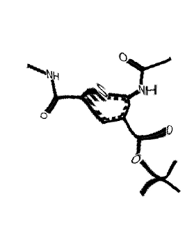 CNC(=O)c1cc(C(=O)OC(C)(C)C)c(NC(C)=O)s1